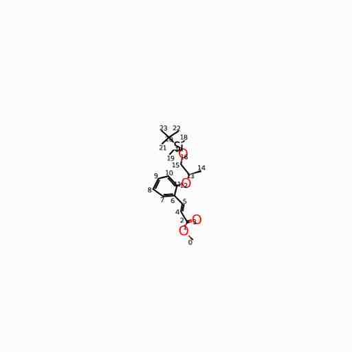 COC(=O)/C=C/c1ccccc1O[C@H](C)CO[Si](C)(C)C(C)(C)C